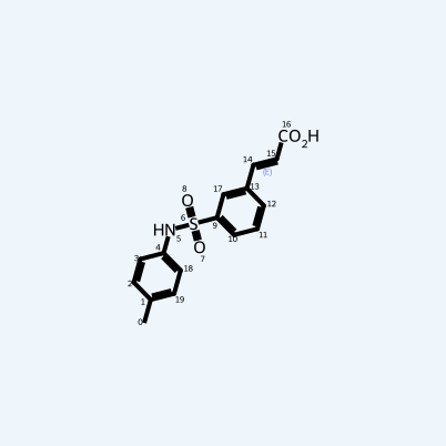 Cc1ccc(NS(=O)(=O)c2cccc(/C=C/C(=O)O)c2)cc1